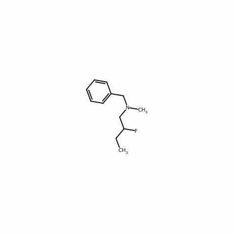 CCC(F)CN(C)Cc1ccccc1